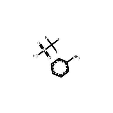 Nc1ccccc1.O=S(=O)(O)C(F)(F)F